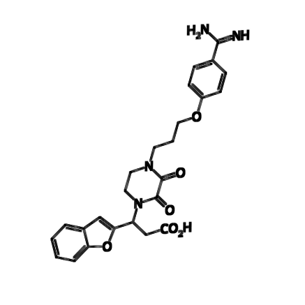 N=C(N)c1ccc(OCCCN2CCN(C(CC(=O)O)c3cc4ccccc4o3)C(=O)C2=O)cc1